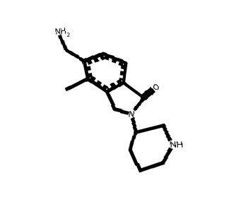 Cc1c(CN)ccc2c1CN(C1CCCNC1)C2=O